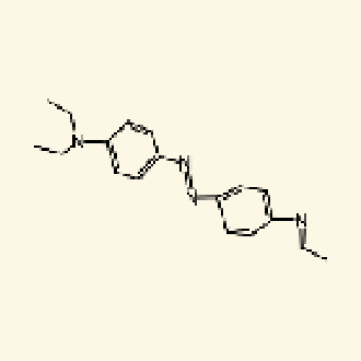 CC=Nc1ccc(N=Nc2ccc(N(CC)CC)cc2)cc1